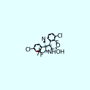 CC(C)(C)C[C@@H]1N[C@@H](C(=O)O)[C@H](c2cccc(Cl)c2F)[C@]1(C#N)c1ccc(Cl)cc1F